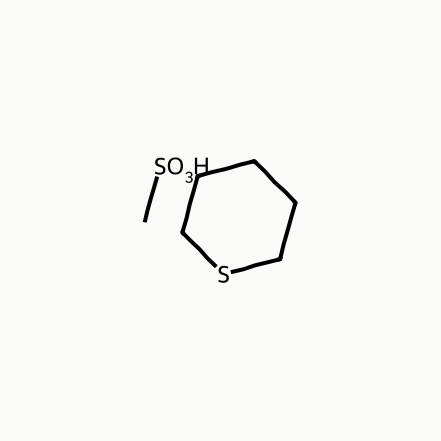 C1CCSCC1.CS(=O)(=O)O